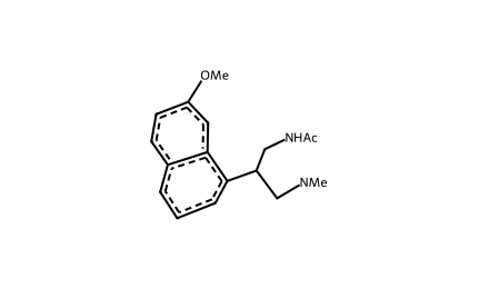 CNCC(CNC(C)=O)c1cccc2ccc(OC)cc12